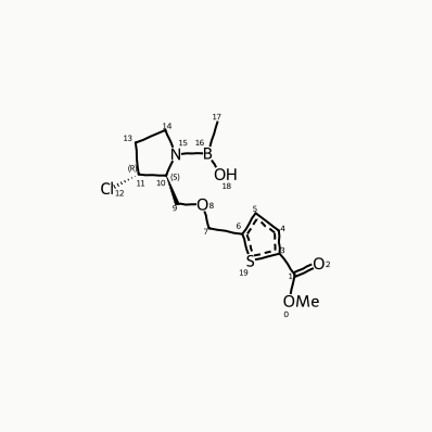 COC(=O)c1ccc(COC[C@H]2[C@H](Cl)CCN2B(C)O)s1